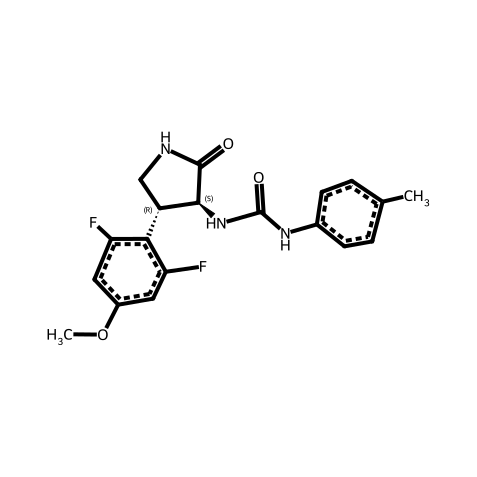 COc1cc(F)c([C@@H]2CNC(=O)[C@H]2NC(=O)Nc2ccc(C)cc2)c(F)c1